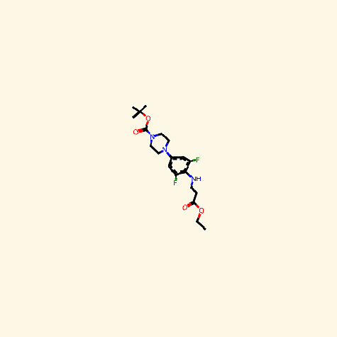 CCOC(=O)CCNc1c(F)cc(N2CCN(C(=O)OC(C)(C)C)CC2)cc1F